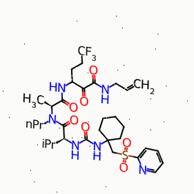 C=CCNC(=O)C(=O)C(CCC(F)(F)F)NC(=O)[C@H](C)N(CCC)C(=O)[C@@H](NC(=O)NC1(CS(=O)(=O)c2ccccn2)CCCCC1)C(C)C